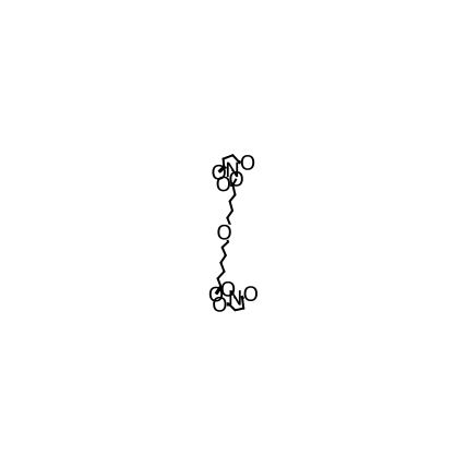 O=C(CCCCCCOCCCCCC(=O)ON1C(=O)CCC1=O)ON1C(=O)CCC1=O